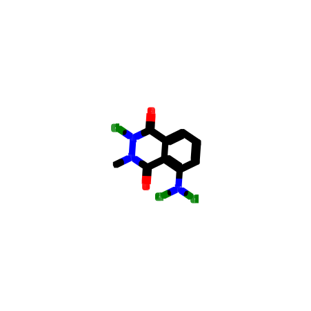 Cn1c(=O)c2c(N(Cl)Cl)cccc2c(=O)n1Cl